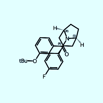 CC(C)(C)Oc1cccc(C(=O)N2[C@@H]3CC[C@H]2C[C@@H](c2ccc(F)cc2)C3)c1